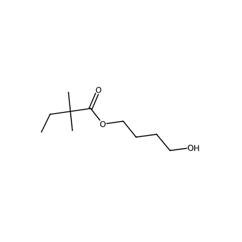 CCC(C)(C)C(=O)OCCCCO